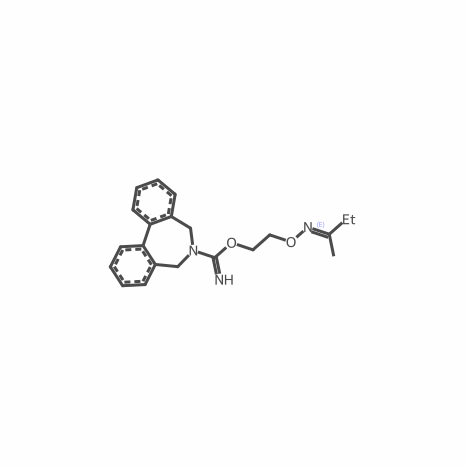 CC/C(C)=N/OCCOC(=N)N1Cc2ccccc2-c2ccccc2C1